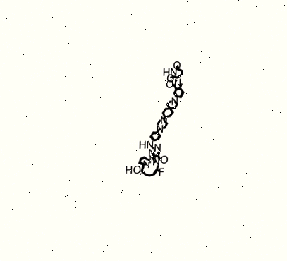 C[C@@]1(O)CC/C=C(/F)Cn2c(=O)c3cnc(Nc4ccc(N5CCN(C6CCC7(CC6)CCN(c6ccc8c(c6)C(=O)N(C6CCC(=O)NC6=O)C8)CC7)CC5)cc4)nc3n2-c2cccc1n2